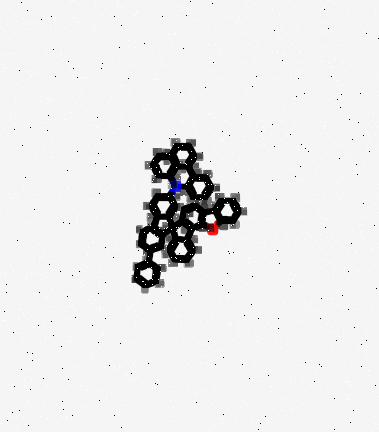 c1ccc(-c2ccc3c(c2)C2(c4cc(N(c5ccccc5)c5ccccc5-c5ccccc5)ccc4-3)c3ccccc3-c3c2ccc2c3oc3ccccc32)cc1